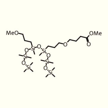 COCCC[Si](C)(O[Si](C)(C)O[Si](C)(C)C)O[Si](C)(CCCOCCCC(=O)OC)O[Si](C)(C)O[Si](C)(C)C